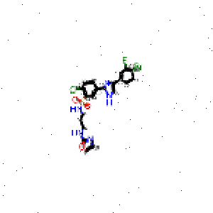 O=S(=O)(NCCCNc1ncco1)c1cc(-c2nc(-c3ccc(Br)c(F)c3)c[nH]2)ccc1Cl